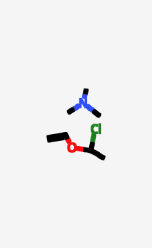 C=COC(C)Cl.CN(C)C